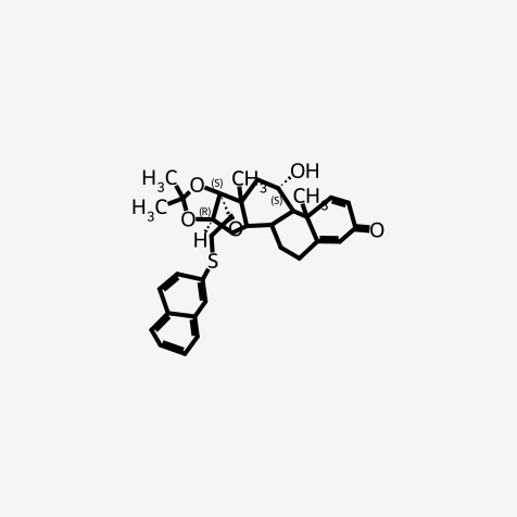 CC1(C)O[C@@H]2CC3C4CCC5=CC(=O)C=CC5(C)C4[C@@H](O)CC3(C)[C@]2(C(=O)CSc2ccc3ccccc3c2)O1